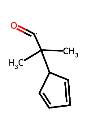 CC(C)([C]=O)C1C=CC=C1